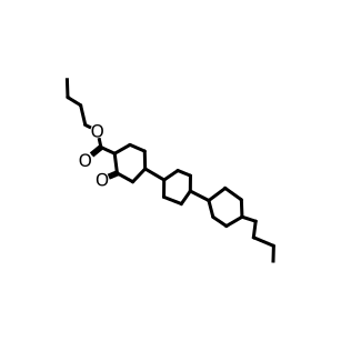 CCCCOC(=O)C1CCC(C2CCC(C3CCC(CCCC)CC3)CC2)CC1=O